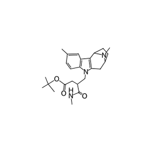 CNC(=O)C(CC(=O)OC(C)(C)C)Cn1c2c(c3cc(C)ccc31)C1CCC(C2)N1C